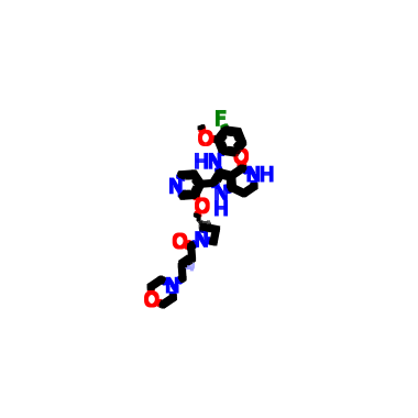 COc1c(F)cccc1Nc1c(-c2ccncc2OC[C@@H]2CCN2C(=O)/C=C/CN2CCOCC2)[nH]c2c1C(=O)NCC2